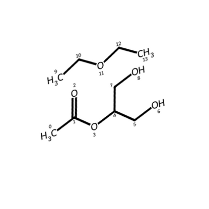 CC(=O)OC(CO)CO.CCOCC